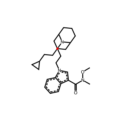 CON(C)C(=O)c1cn(CCCN2C3CCCC2CC(CCC2CC2)C3)c2ccccc12